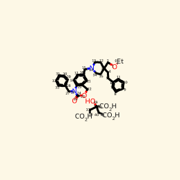 CCOCC1(CCc2ccccc2)CCN(Cc2ccc3c(c2)COC(=O)N3Cc2ccccc2)CC1.O=C(O)CC(O)(CC(=O)O)C(=O)O